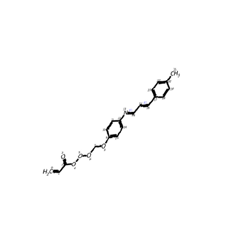 C=CC(=O)OOOCOc1ccc(/N=C/C=C/c2ccc(C)cc2)cc1